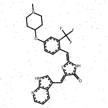 CN1CCC(Oc2ccc(/C=c3/[nH]c(=O)/c(=C/c4c[nH]c5ncccc45)s3)c(C(F)(F)F)c2)CC1